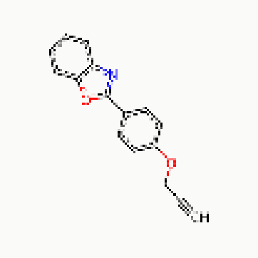 C#CCOc1ccc(-c2nc3ccccc3o2)cc1